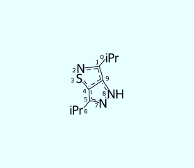 CC(C)c1nsc2c(C(C)C)n[nH]c12